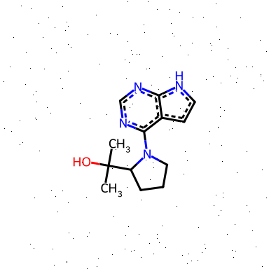 CC(C)(O)C1CCCN1c1ncnc2[nH]ccc12